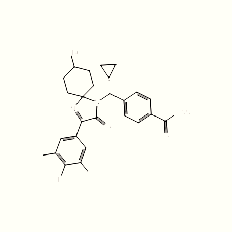 COC(=O)c1ccc([C@@H](C2CC2)N2C(=O)C(c3cc(F)c(F)c(F)c3)=NC23CCC(C(C)(C)C)CC3)cc1